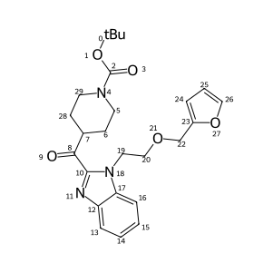 CC(C)(C)OC(=O)N1CCC(C(=O)c2nc3ccccc3n2CCOCc2ccco2)CC1